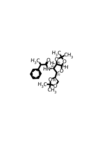 CC(C(=O)N[C@H]1[C@H]2OC(C)(C)O[C@H]2O[C@@H]1[C@H]1COC(C)(C)O1)c1ccccc1